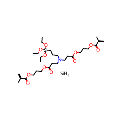 C=C(C)C(=O)OCCCOC(=O)CCN(CCC[Si](OCC)(OCC)OCC)CCC(=O)OCCCOC(=O)C(=C)C.[SiH4]